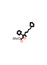 COC(=O)c1occ(C=CCCc2ccccc2)c1-c1ccccc1